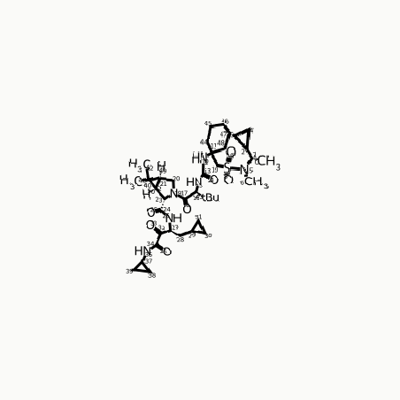 C[C@@H](C1CC1)N(C)S(=O)(=O)CC1(NC(=O)N[C@H](C(=O)N2C[C@H]3[C@@H]([C@H]2C(=O)N[C@@H](CC2CC2)C(=O)C(=O)NC2CC2)C3(C)C)C(C)(C)C)CCCCC1